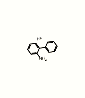 F.Nc1ccccc1-c1ccccc1